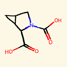 O=C(O)C1C2CC2CN1C(=O)O